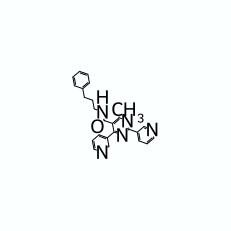 Cc1nc(-c2cccnc2)nc(-c2cccnc2)c1C(=O)NCCCc1ccccc1